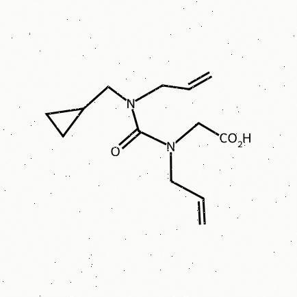 C=CCN(CC(=O)O)C(=O)N(CC=C)CC1CC1